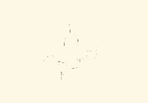 CCn1cc(N2C(=O)c3[nH]nc(CC(C)C)c3C2c2ccc(F)cc2Cl)cn1